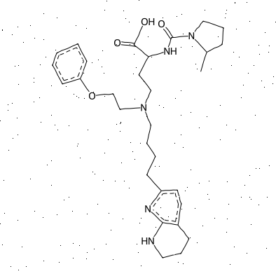 CC1CCCN1C(=O)NC(CCN(CCCCc1ccc2c(n1)NCCC2)CCOc1ccccc1)C(=O)O